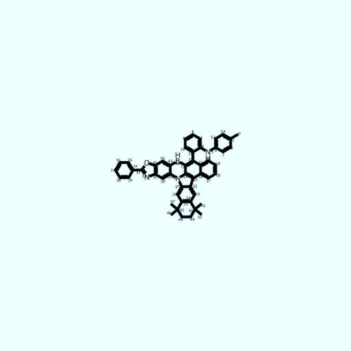 Cc1ccc(Nc2ccccc2-c2c3c4c(c5ccccc25)c2cc5c(cc2n4-c2cc4nc(-c6ccccc6)oc4cc2B3)C(C)(C)CCC5(C)C)cc1